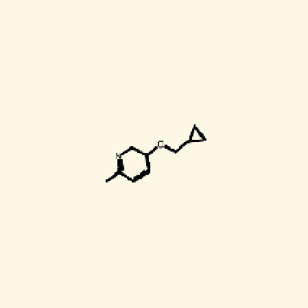 CC1=NCC(OCC2CC2)C=C1